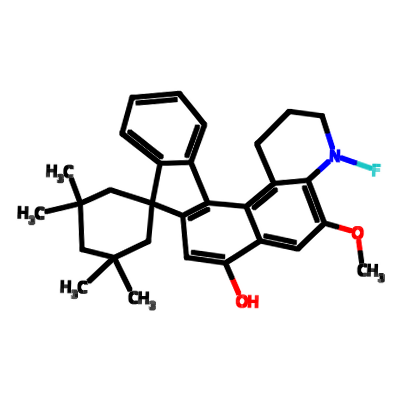 COc1cc2c(O)cc3c(c2c2c1N(F)CCC2)-c1ccccc1C31CC(C)(C)CC(C)(C)C1